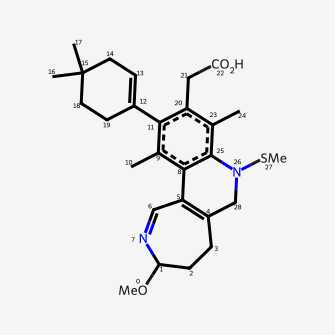 COC1CCC2=C(C=N1)c1c(C)c(C3=CCC(C)(C)CC3)c(CC(=O)O)c(C)c1N(SC)C2